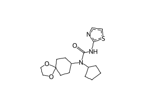 O=C(Nc1nccs1)N(C1CCCC1)C1CCC2(CC1)OCCO2